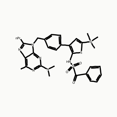 CCCc1nc2c(C)nc(N(C)C)nc2n1Cc1ccc(-c2cc([Si](C)(C)C)sc2NS(=O)(=O)C(=O)c2ccccc2)cc1